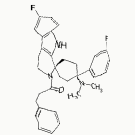 CN(C)[C@]1(c2cccc(F)c2)CC[C@]2(CC1)c1[nH]c3ccc(F)cc3c1CCN2C(=O)Cc1ccccc1